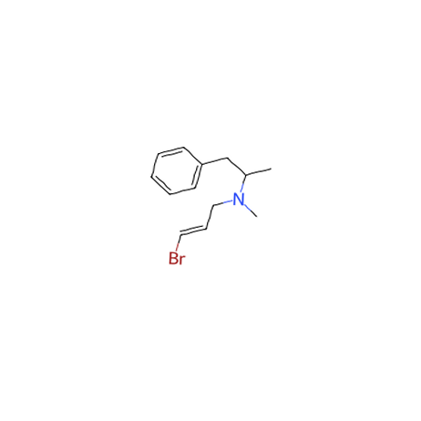 CC(Cc1ccccc1)N(C)CC=CBr